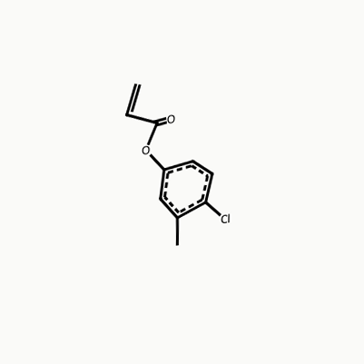 C=CC(=O)Oc1ccc(Cl)c(C)c1